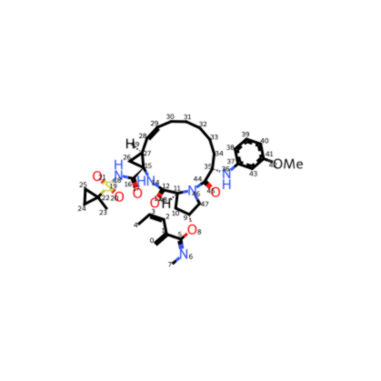 C=C(/C=C\C)/C(=N\C)O[C@@H]1C[C@H]2C(=O)N[C@]3(C(=O)NS(=O)(=O)C4(C)CC4)C[C@H]3/C=C\CCCCC[C@H](Nc3cccc(OC)c3)C(=O)N2C1